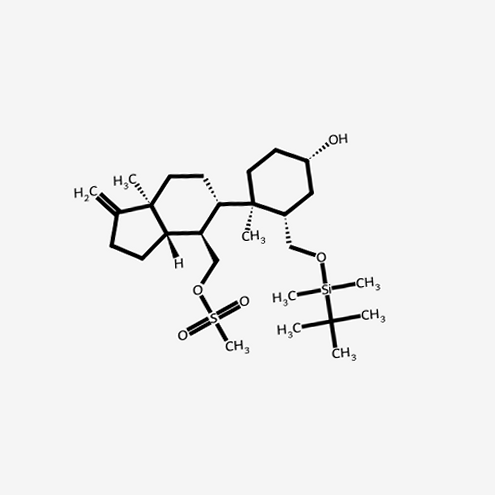 C=C1CC[C@H]2[C@H](COS(C)(=O)=O)[C@@H]([C@@]3(C)CC[C@H](O)C[C@@H]3CO[Si](C)(C)C(C)(C)C)CC[C@]12C